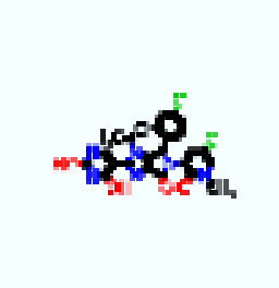 CC(C)n1c(-c2cnc(O)nc2O)nc2c1C(c1ccc(Cl)cc1)N(c1cc(Cl)cn(C)c1=O)C2=O